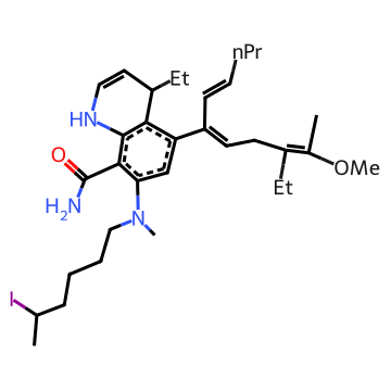 CCC/C=C/C(=C\C/C(CC)=C(\C)OC)c1cc(N(C)CCCCC(C)I)c(C(N)=O)c2c1C(CC)C=CN2